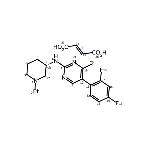 CCN1CCC[C@H](Nc2ncc(-c3ccc(F)cc3F)c(C)n2)C1.O=C(O)/C=C/C(=O)O